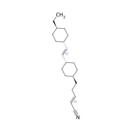 CC[C@H]1CC[C@H](/C=C/[C@H]2CC[C@H](CC/C=C/C#N)CC2)CC1